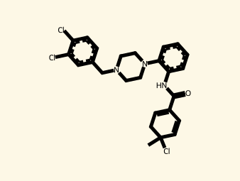 CC1(Cl)C=CC(C(=O)Nc2ccccc2N2CCN(Cc3ccc(Cl)c(Cl)c3)CC2)=CC1